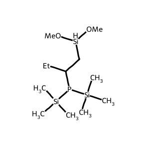 CCC(C[SiH](OC)OC)P([Si](C)(C)C)[Si](C)(C)C